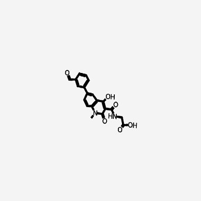 Cn1c(=O)c(C(=O)NCC(=O)O)c(O)c2cc(-c3cccc(C=O)c3)ccc21